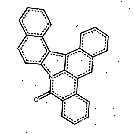 O=c1c2ccccc2c2cc3ccccc3c3c4c5ccccc5ccc4n1c23